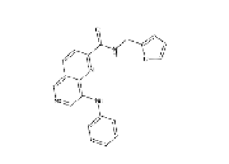 O=C(NCc1ccco1)c1ccc2cncc(Nc3ccccc3)c2n1